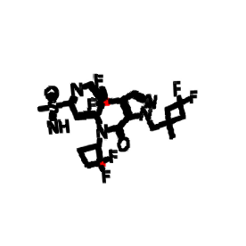 CC1(Cn2ncc(C(F)F)c2C(=O)N(c2ccnc(S(C)(=N)=O)c2)C23CC(C2)C3(F)F)CC(F)(F)C1